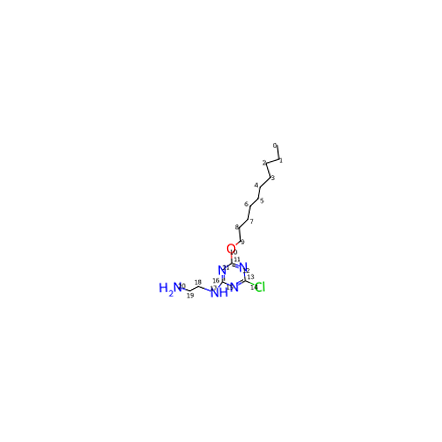 CCCCCCCCCCOc1nc(Cl)nc(NCCN)n1